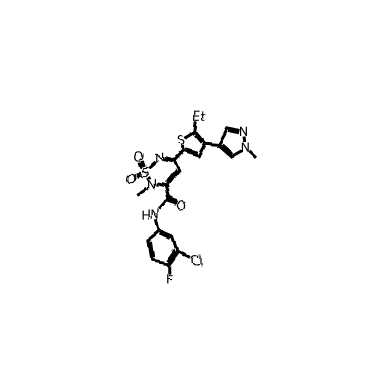 CCc1sc(C2=NS(=O)(=O)N(C)C(C(=O)Nc3ccc(F)c(Cl)c3)=C2)cc1-c1cnn(C)c1